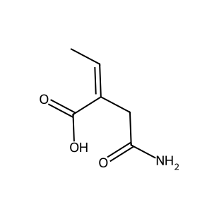 CC=C(CC(N)=O)C(=O)O